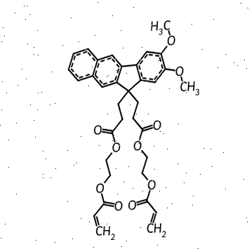 C=CC(=O)OCCOC(=O)CCC1(CCC(=O)OCCOC(=O)C=C)c2cc(OC)c(OC)cc2-c2cc3ccccc3cc21